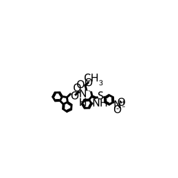 COC(=O)[C@H](Cc1c(Sc2ccc([N+](=O)[O-])cc2)[nH]c2ccccc12)NC(=O)OCC1c2ccccc2-c2ccccc21